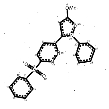 COc1cc(-c2ccc(S(=O)(=O)c3ccccc3)nn2)n(-c2ccccc2)n1